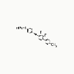 CCCCCc1ccc(C#Cc2ccc(-c3ccc(C)cc3)c(F)c2F)cc1